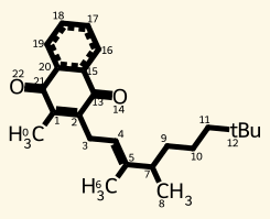 CC1=C(C/C=C(\C)C(C)CCCC(C)(C)C)C(=O)c2ccccc2C1=O